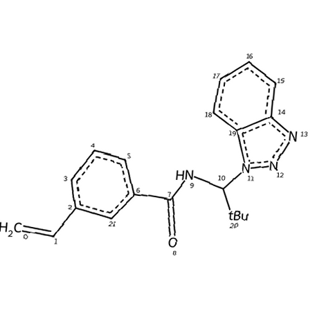 C=Cc1cccc(C(=O)NC(n2nnc3ccccc32)C(C)(C)C)c1